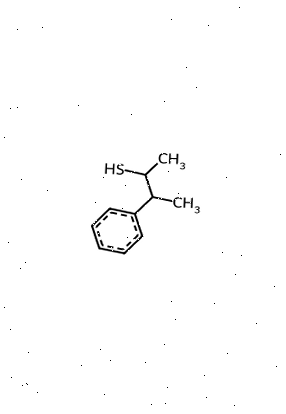 CC(S)C(C)c1ccccc1